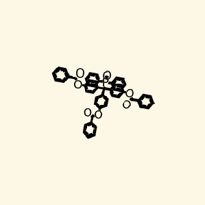 O=C(Oc1ccc(C(c2ccc(OC(=O)c3ccccc3)cc2)(c2ccc(OC(=O)c3ccccc3)cc2)P(=O)(c2ccccc2)c2ccccc2)cc1)c1ccccc1